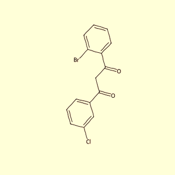 O=C(CC(=O)c1ccccc1Br)c1cccc(Cl)c1